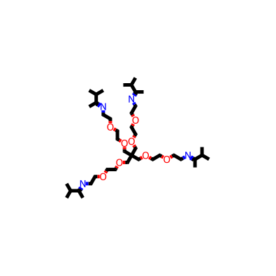 C/C(=N\CCOCCOCC(COCCOCC/N=C(\C)C(C)C)(COCCOCC/N=C(\C)C(C)C)COCCOCC/N=C(\C)C(C)C)C(C)C